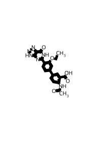 CCOc1cc(-c2ccc(NC(C)=O)c(C(=O)O)c2)ccc1-c1nc2[nH]nnc2c(=O)[nH]1